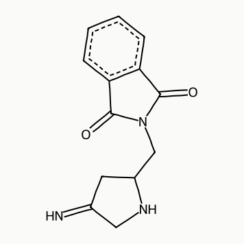 N=C1CNC(CN2C(=O)c3ccccc3C2=O)C1